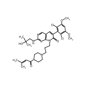 COc1cc(OC)c(Cl)c(-c2cc3cnc(NCC(C)(C)O)nc3n(CCCN3CCN(C(=O)C=C(C)C)CC3)c2=O)c1Cl